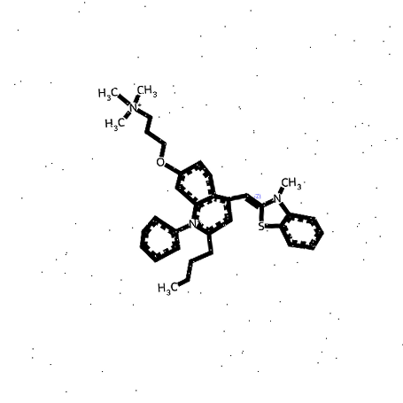 CCCCc1cc(/C=C2\Sc3ccccc3N2C)c2ccc(OCCC[N+](C)(C)C)cc2[n+]1-c1ccccc1